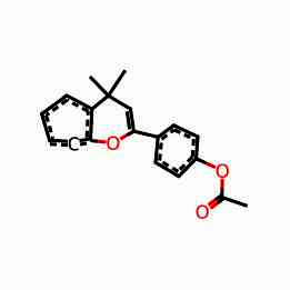 CC(=O)Oc1ccc(C2=CC(C)(C)c3ccccc3O2)cc1